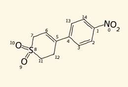 O=[N+]([O-])c1ccc(C2=CCS(=O)(=O)CC2)cc1